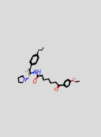 CCCc1ccc([C@@H](C)[C@@H](CN2CCCC2)NC(=O)CCCCCC(=O)c2ccc(OCC)cc2)cc1